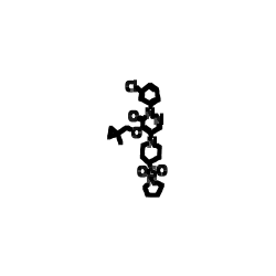 CC1(COc2c(N3CCC(S(=O)(=O)N4CCCC4)CC3)cnn(-c3cccc(Cl)c3)c2=O)CC1